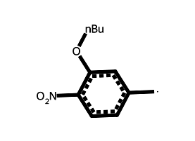 [CH2]c1ccc([N+](=O)[O-])c(OCCCC)c1